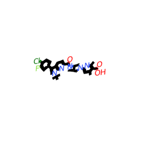 Cc1cc(N2CC3CN(C(=O)c4ccc5c(-c6ccc(Cl)c(F)c6)cn(C(C)(C)C)c5n4)C3C2)nc(C)c1C(=O)O